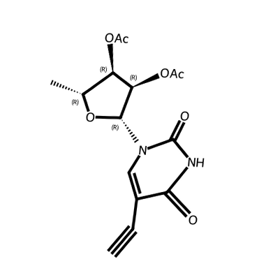 C#Cc1cn([C@@H]2O[C@H](C)[C@@H](OC(C)=O)[C@H]2OC(C)=O)c(=O)[nH]c1=O